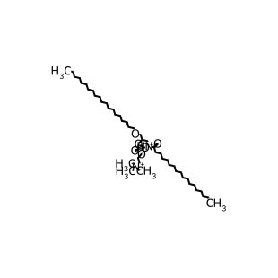 CCCCCCCCCCCCCCCCCCCCOCC(CNC(=O)CCCCCCCCCCCCCCCCC)OP(=O)([O-])OCC[N+](C)(C)C